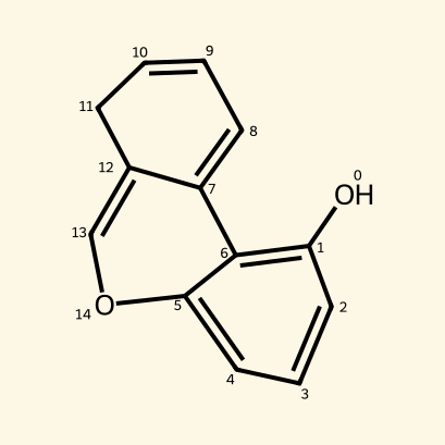 Oc1cccc2c1C1=CC=CCC1=CO2